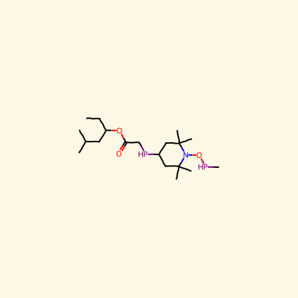 CCC(CC(C)C)OC(=O)CPC1CC(C)(C)N(OPC)C(C)(C)C1